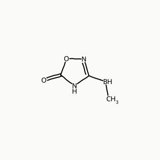 CBc1noc(=O)[nH]1